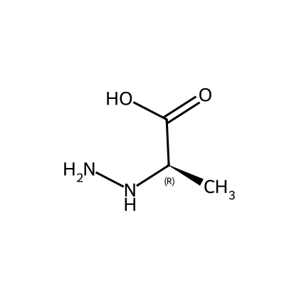 C[C@@H](NN)C(=O)O